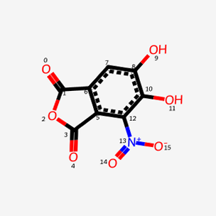 O=C1OC(=O)c2c1cc(O)c(O)c2[N+](=O)[O-]